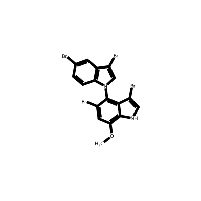 COc1cc(Br)c(-n2cc(Br)c3cc(Br)ccc32)c2c(Br)c[nH]c12